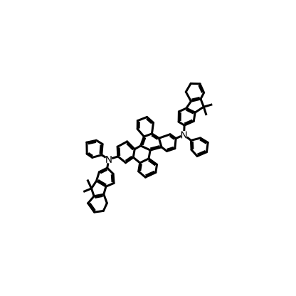 CC1(C)C2=C(CCC=C2)c2ccc(N(c3ccccc3)c3ccc4c(c3)c3ccccc3c3c5ccc(N(c6ccccc6)c6ccc7c(c6)C(C)(C)C6=C7CCC=C6)cc5c5ccccc5c43)cc21